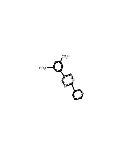 O=C(O)c1cc(C(=O)O)cc(-c2nnc(-c3cccnc3)nn2)c1